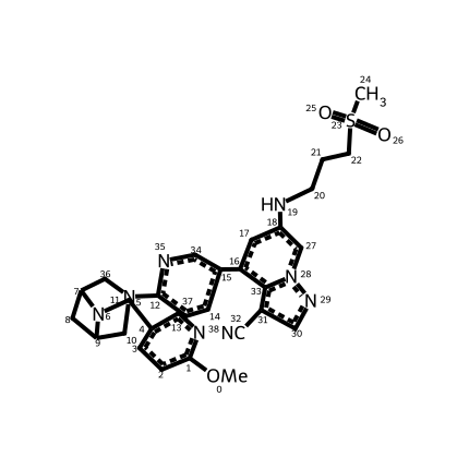 COc1ccc(CN2C3CC2CN(c2ccc(-c4cc(NCCCS(C)(=O)=O)cn5ncc(C#N)c45)cn2)C3)cn1